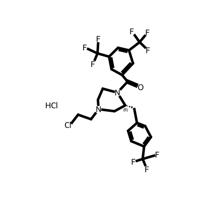 Cl.O=C(c1cc(C(F)(F)F)cc(C(F)(F)F)c1)N1CCN(CCCl)C[C@H]1Cc1ccc(C(F)(F)F)cc1